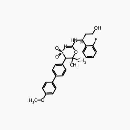 COc1ccc(-c2ccc(C3C(C)(C)OC(N[C@@H](CCO)c4ccccc4F)=NS3(=O)=O)cc2)cc1